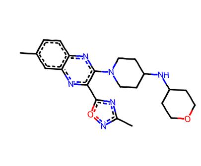 Cc1ccc2nc(N3CCC(NC4CCOCC4)CC3)c(-c3nc(C)no3)nc2c1